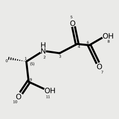 C[C@H](NCC(=O)C(=O)O)C(=O)O